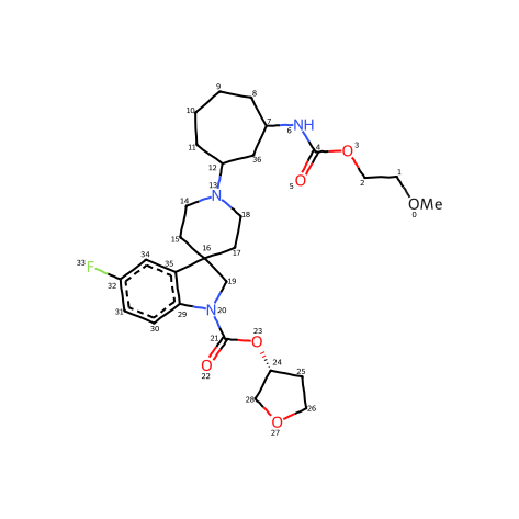 COCCOC(=O)NC1CCCCC(N2CCC3(CC2)CN(C(=O)O[C@@H]2CCOC2)c2ccc(F)cc23)C1